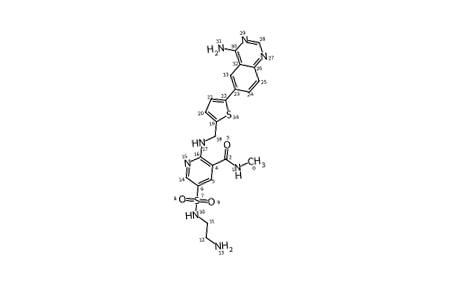 CNC(=O)c1cc(S(=O)(=O)NCCN)cnc1NCc1ccc(-c2ccc3ncnc(N)c3c2)s1